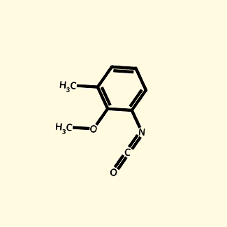 COc1c(C)cccc1N=C=O